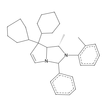 Cc1ccccc1N1C(c2ccccc2)N2C=CC(C3CCCCC3)(C3CCCCC3)C2[C@@H]1C